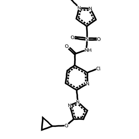 Cn1cc(S(=O)(=O)NC(=O)c2ccc(-n3ccc(OC4CC4)n3)nc2Cl)cn1